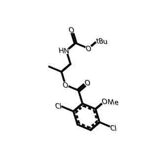 COc1c(Cl)ccc(Cl)c1C(=O)OC(C)CNC(=O)OC(C)(C)C